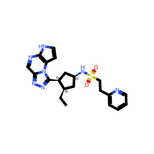 CC[C@@H]1C[C@H](NS(=O)(=O)CCc2ccccn2)C[C@@H]1c1nnc2cnc3[nH]ccc3n12